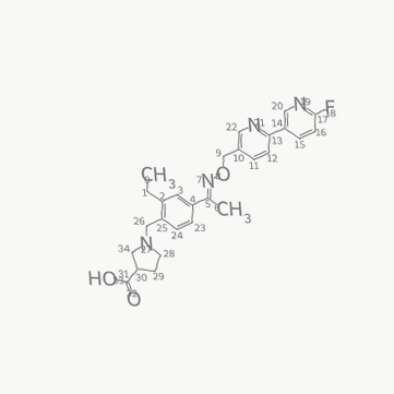 CCc1cc(C(C)=NOCc2ccc(-c3ccc(F)nc3)nc2)ccc1CN1CCC(C(=O)O)C1